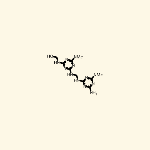 CNc1nc(N)nc(NCNc2nc(NC)nc(NCO)n2)n1